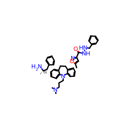 CN(C)CCCN1c2ccccc2CCc2ccccc21.C[C@H](N)Cc1ccccc1.Cc1cc(C(=O)NNCc2ccccc2)no1